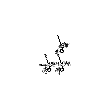 CCCCCCCC(=O)NC(COP(=O)(O)O)c1cccc(NS(C)(=O)=O)c1.CCCCCCCC(=O)NC(COP(=O)([O-])O)c1cccc(NS(C)(=O)=O)c1.CCCCCCCC(=O)NC(COP(=O)([O-])[O-])c1cccc(NS(C)(=O)=O)c1.[Na+].[Na+].[Na+]